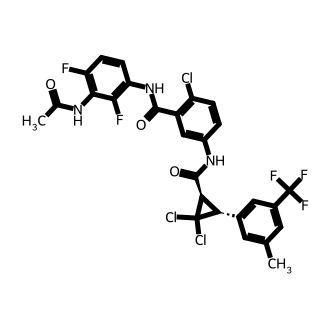 CC(=O)Nc1c(F)ccc(NC(=O)c2cc(NC(=O)[C@H]3[C@H](c4cc(C)cc(C(F)(F)F)c4)C3(Cl)Cl)ccc2Cl)c1F